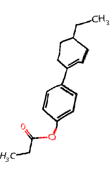 CCC(=O)Oc1ccc(C2=CCC(CC)CC2)cc1